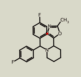 Cc1nnc(C2CCCCN2C(c2ccc(F)cc2)c2ccc(F)cc2)o1